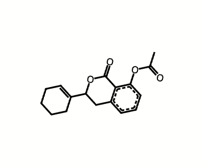 CC(=O)Oc1cccc2c1C(=O)OC(C1=CCCCC1)C2